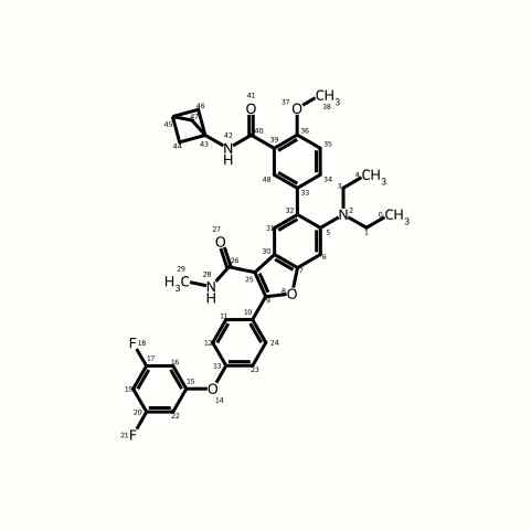 CCN(CC)c1cc2oc(-c3ccc(Oc4cc(F)cc(F)c4)cc3)c(C(=O)NC)c2cc1-c1ccc(OC)c(C(=O)NC23CC(C2)C3)c1